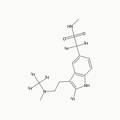 [2H]c1[nH]c2ccc(C([2H])([2H])S(=O)(=O)NC)cc2c1CCN(C)C([2H])([2H])[2H]